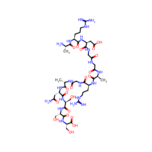 C[C@H](N)C(=O)N[C@@H](CCCNC(=N)N)C(=O)N[C@@H](CC(=O)O)C(=O)NCC(=O)NCC(=O)N[C@@H](C)C(=O)N[C@@H](CCCNC(=N)N)C(=O)NCC(=O)N[C@@H](C)C(=O)N[C@@H](CC(N)=O)C(=O)N[C@@H](CO)C(=O)N[C@@H](CO)C(=O)N[C@@H](CO)C(=O)O